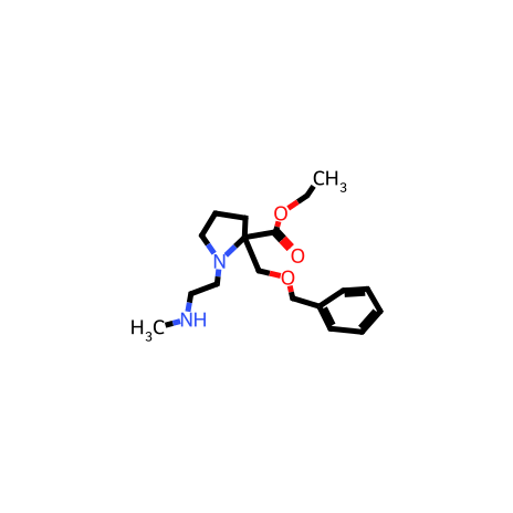 CCOC(=O)C1(COCc2ccccc2)CCCN1CCNC